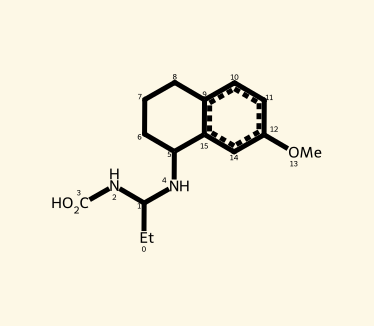 CCC(NC(=O)O)NC1CCCc2ccc(OC)cc21